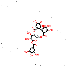 O=C(OC1OC2COC(=O)c3cc(O)c(O)c(O)c3-c3c(cc(O)c(O)c3O)C(=O)OC2C(O)C1O)c1cc(O)c(O)c(O)c1